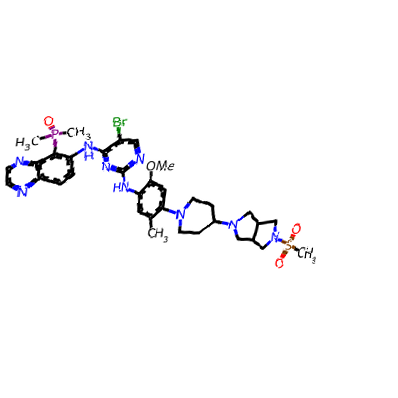 COc1cc(N2CCC(N3CC4CN(S(C)(=O)=O)CC4C3)CC2)c(C)cc1Nc1ncc(Br)c(Nc2ccc3nccnc3c2P(C)(C)=O)n1